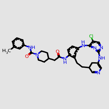 Cc1cccc(NC(=O)N2CCC(CC(=O)Nc3ccc4cc3CCC3C=NC=C(C3)Nc3ncc(Cl)c(n3)N4)CC2)c1